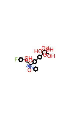 CN1C(=O)N(c2ccccc2)C(c2ccc(-c3ccc(C4OC(CO)C(O)C(O)C4O)cc3)cc2O)C1CCC(O)c1ccc(F)cc1